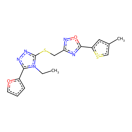 CCn1c(SCc2noc(-c3cc(C)cs3)n2)nnc1-c1ccco1